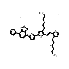 CCCCCCc1ccsc1/C=C/c1sc(-c2ccc(-c3ccc(-c4cccs4)c4nsnc34)s2)cc1CCCCCC